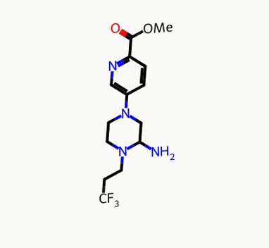 COC(=O)c1ccc(N2CCN(CCC(F)(F)F)C(N)C2)cn1